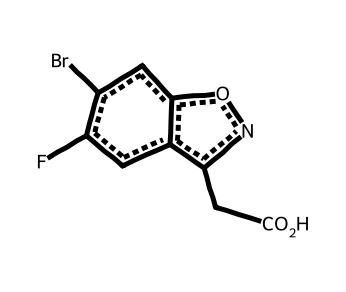 O=C(O)Cc1noc2cc(Br)c(F)cc12